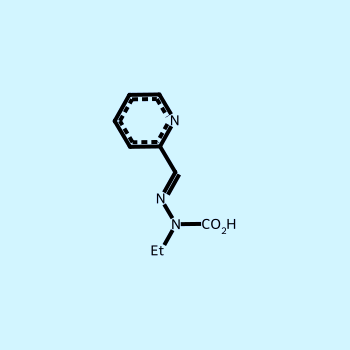 CCN(/N=C/c1ccccn1)C(=O)O